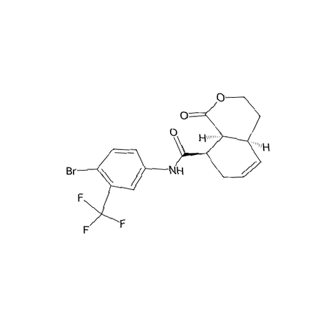 O=C1OCC[C@H]2C=CC[C@@H](C(=O)Nc3ccc(Br)c(C(F)(F)F)c3)[C@@H]12